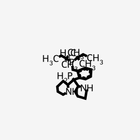 CCC(C)(C)P(Cc1ccccc1C(P)(C1CCCCN1)C1CCCCN1)C(C)(C)CC